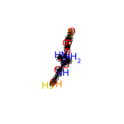 N/C1=C(\NCCOc2ccc(C(=O)Oc3ccc(CSP=O)cc3)cc2)c2ccccc2CN(C(=O)CCCCC(=O)NCCCCCCOPS)c2ccccc21